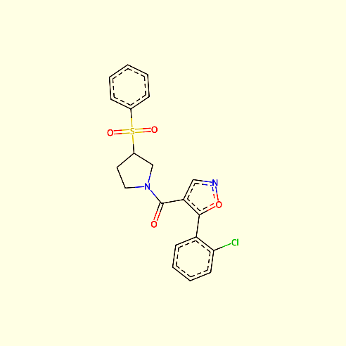 O=C(c1cnoc1-c1ccccc1Cl)N1CCC(S(=O)(=O)c2ccccc2)C1